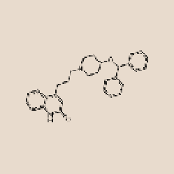 O=c1cc(CCCN2CCC(OC(c3ccccc3)c3ccccc3)CC2)c2ccccc2[nH]1